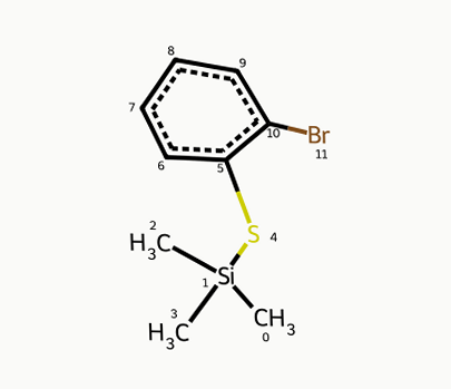 C[Si](C)(C)Sc1ccccc1Br